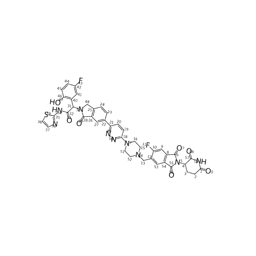 O=C1CCC(N2C(=O)c3cc(F)c(CN4CCN(c5ccc(-c6ccc7c(c6)C(=O)N(C(C(=O)Nc6nccs6)c6cc(F)ccc6O)C7)nn5)CC4)cc3C2=O)C(=O)N1